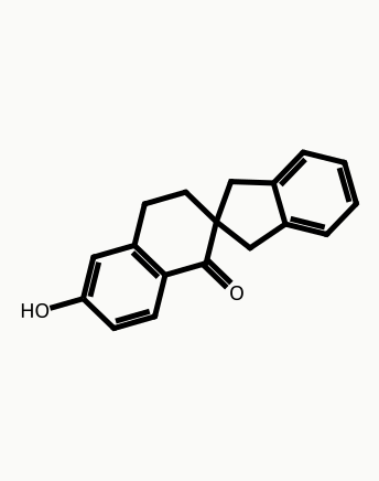 O=C1c2ccc(O)cc2CCC12Cc1ccccc1C2